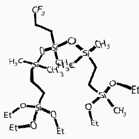 CCO[Si](C)(CC[Si](C)(C)O[Si](C)(CCC(F)(F)F)O[Si](C)(C)CC[Si](OCC)(OCC)OCC)OCC